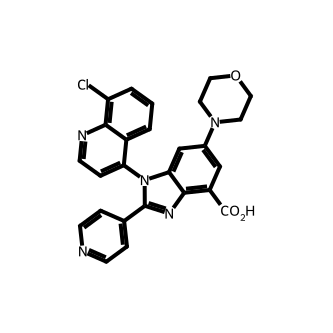 O=C(O)c1cc(N2CCOCC2)cc2c1nc(-c1ccncc1)n2-c1ccnc2c(Cl)cccc12